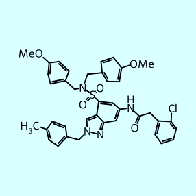 COc1ccc(CN(Cc2ccc(OC)cc2)S(=O)(=O)c2cc(NC(=O)Cc3ccccc3Cl)cc3nn(Cc4ccc(C)cc4)cc23)cc1